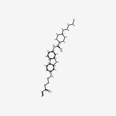 C=CC(=O)CCCOc1ccc2c(c1)Cc1cc(OC(=O)C3CCC(CCCCC)CC3)ccc1-2